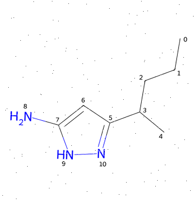 CCCC(C)c1cc(N)[nH]n1